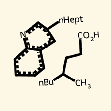 CCCCC(C)CCC(=O)O.CCCCCCCc1cnc2ccccc2c1